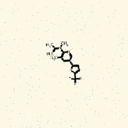 C=C(C)N(C)c1ncc(-c2ccc(C(F)(F)F)s2)cc1C